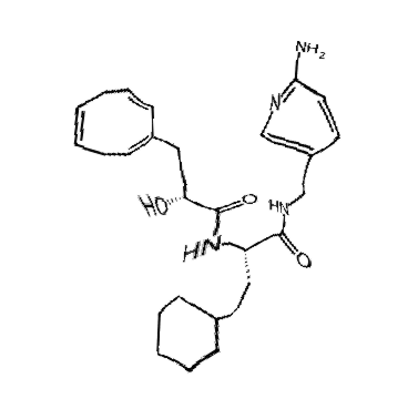 Nc1ccc(CNC(=O)[C@H](CC2CCCCC2)NC(=O)[C@H](O)Cc2ccccc2)cn1